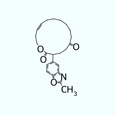 Cc1nc2cc(C3CCC(=O)CCCCCCC=CCCOC3=O)ccc2o1